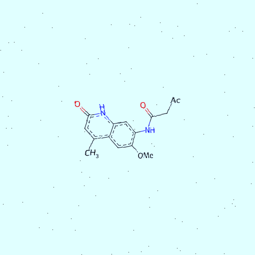 COc1cc2c(C)cc(=O)[nH]c2cc1NC(=O)CC(C)=O